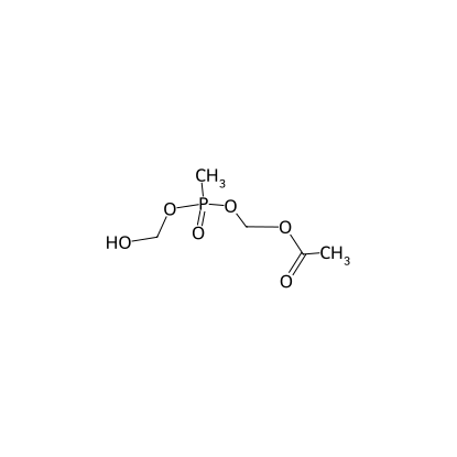 CC(=O)OCOP(C)(=O)OCO